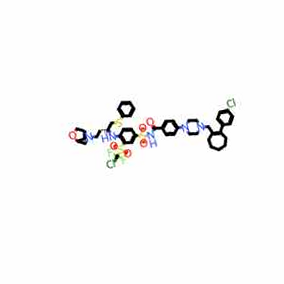 O=C(NS(=O)(=O)c1ccc(N[C@H](CCN2CC3CC2CO3)CSc2ccccc2)c(S(=O)(=O)C(F)(F)Cl)c1)c1ccc(N2CCN(CC3=C(c4ccc(Cl)cc4)CCCCC3)CC2)cc1